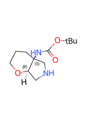 CC(C)(C)OC(=O)N[C@]12CCCO[C@@H]1CNC2